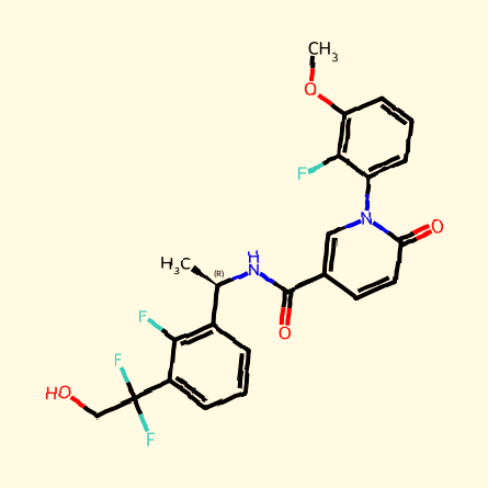 COc1cccc(-n2cc(C(=O)N[C@H](C)c3cccc(C(F)(F)CO)c3F)ccc2=O)c1F